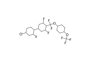 FC1CC(Cl)CCC1C1CC(F)C(C(F)(F)OC2CCC(OC(F)(F)F)CC2)C(F)C1